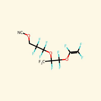 N#COCC(F)(F)C(F)(F)OC(F)(C(F)(F)F)C(F)(F)OC(F)=C(F)F